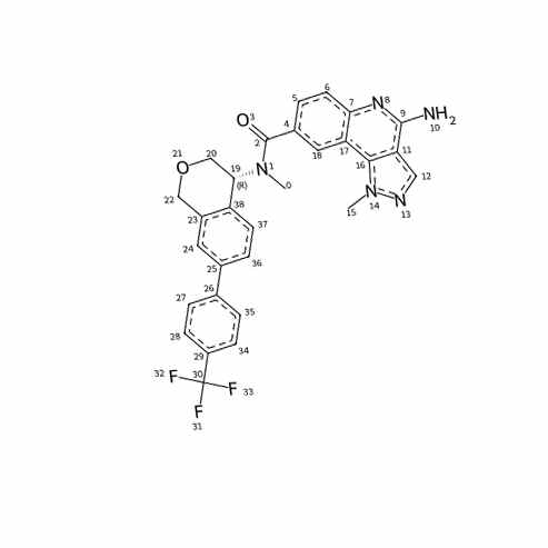 CN(C(=O)c1ccc2nc(N)c3cnn(C)c3c2c1)[C@H]1COCc2cc(-c3ccc(C(F)(F)F)cc3)ccc21